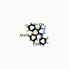 COc1cc(OC)c(Cl)c(-c2c(-c3ccccc3F)nnc(C)c2-c2c(F)cc(F)cc2F)c1